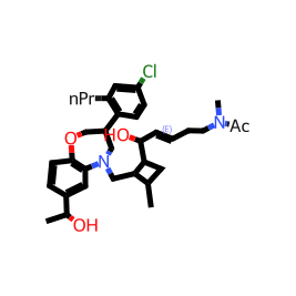 CCCc1cc(Cl)ccc1C1COc2ccc(C(C)O)cc2N(CC2C(C)CC2C(O)/C=C/CCN(C)C(C)=O)C1